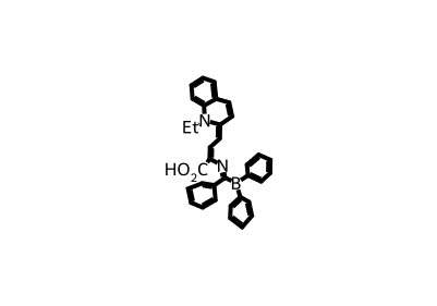 CCN1\C(=C/C=C(\N=C(\B(c2ccccc2)c2ccccc2)c2ccccc2)C(=O)O)C=Cc2ccccc21